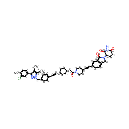 Cc1c(-c2ccc(C#N)c(Cl)c2)nn(Cc2ccc(C#C[C@H]3CC[C@H](CC(=O)N4CCC(C#Cc5ccc6c(c5)C(=O)N(C5CCC(=O)NC5=O)C6)CC4)CC3)cc2)c1C